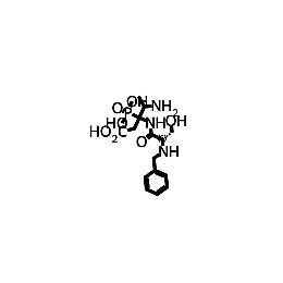 CC(N)C(CC(=O)O)(NC(=O)[C@H](CO)NCc1ccccc1)P(=O)(O)O